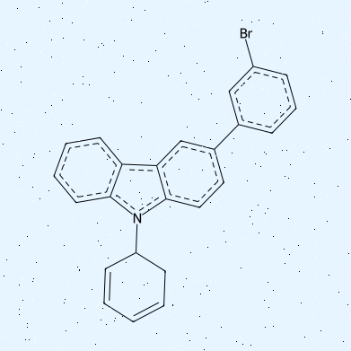 Brc1cccc(-c2ccc3c(c2)c2ccccc2n3C2C=CC=CC2)c1